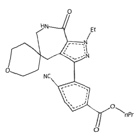 CCCOC(=O)c1ccc(C#N)c(-c2nn(CC)c3c2CC2(CCOCC2)CNC3=O)c1